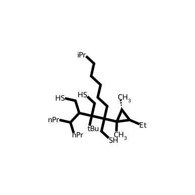 CCCC(CCC)C(CS)C(CS)(C(C)(C)C)C(CS)(CCCCCC(C)C)C1(C)C(CC)[C@H]1C